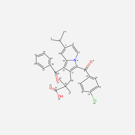 CC(C)c1ccn2c(C(=O)c3ccc(Cl)cc3)c(CC(C)(C)C(=O)O)c(C(=O)c3ccccc3)c2c1